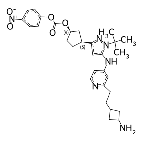 CC(C)(C)n1nc([C@H]2CC[C@@H](OC(=O)Oc3ccc([N+](=O)[O-])cc3)C2)cc1Nc1ccnc(CCC2CC(N)C2)c1